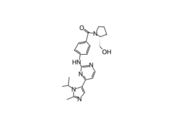 Cc1ncc(-c2ccnc(Nc3ccc(C(=O)N4CCC[C@@H]4CO)cc3)n2)n1C(C)C